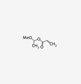 C=CC(=O)OC(C)OC